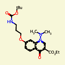 CCOC(=O)c1cn(N(C)C)c2cc(OCCCNC(=O)OC(C)(C)C)ccc2c1=O